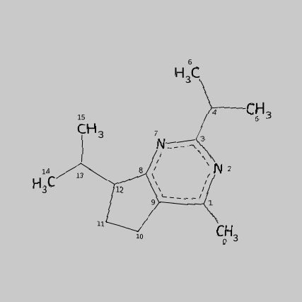 Cc1nc(C(C)C)nc2c1CCC2C(C)C